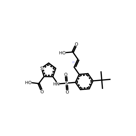 CC(C)(C)c1ccc(S(=O)(=O)Nc2ccsc2C(=O)O)c(/C=C/C(=O)O)c1